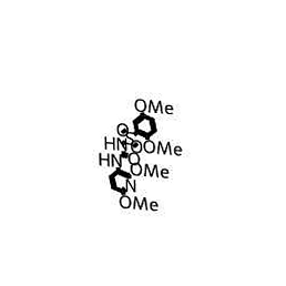 COc1ccc(OC)c(S(=O)(=O)NC(=O)Nc2ccc(OC)nc2OC)c1